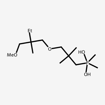 CCC(C)(COC)COCC(C)(C)CP(C)(C)(O)O